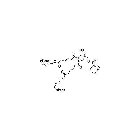 CCCCC/C=C\CCOC(=O)CCCCC(=O)OCC(CO)(COC(=O)CCCCC(=O)OCC/C=C\CCCCC)COC(=O)C12CCCC(CC1)C2